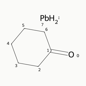 O=C1CCCCC1.[PbH2]